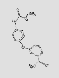 COC(=O)c1cc(Oc2ccc(NC(=O)OC(C)(C)C)cc2)ncn1